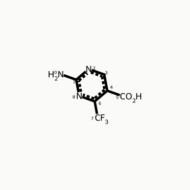 Nc1ncc(C(=O)O)c(C(F)(F)F)n1